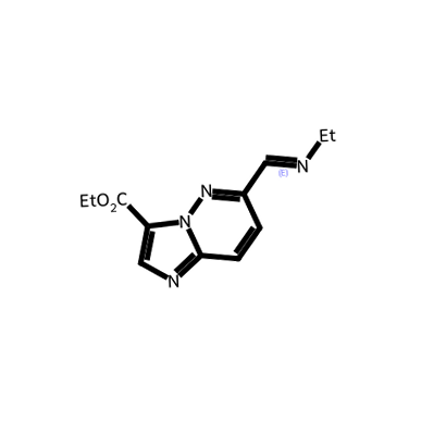 CC/N=C/c1ccc2ncc(C(=O)OCC)n2n1